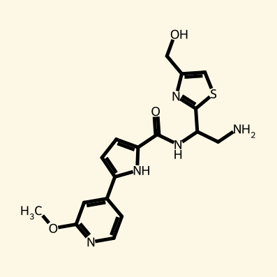 COc1cc(-c2ccc(C(=O)NC(CN)c3nc(CO)cs3)[nH]2)ccn1